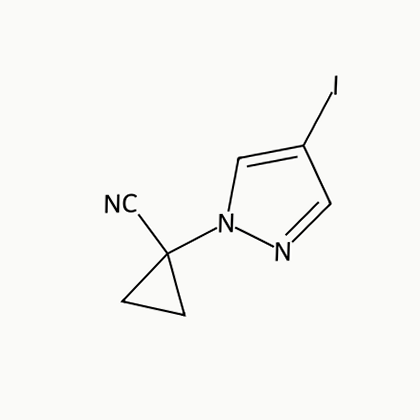 N#CC1(n2cc(I)cn2)CC1